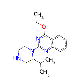 CCOc1nc(N2CCNCC2C(C)C)nc2ccccc12